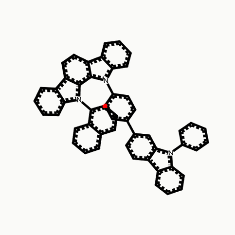 c1ccc(-n2c3ccccc3c3ccc(-c4ccc(-n5c6ccccc6c6ccc7c8ccccc8n(-c8cccc9ccccc89)c7c65)cc4)cc32)cc1